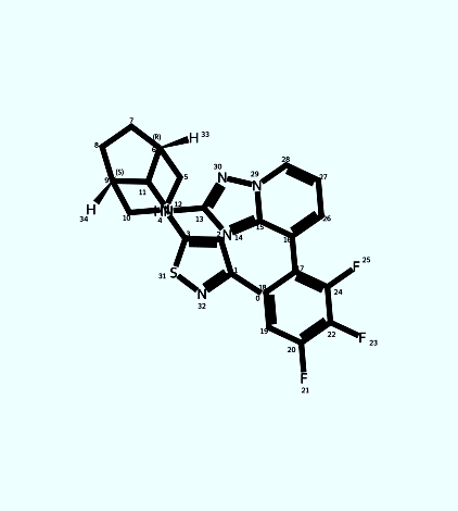 Cc1cc(N2C[C@H]3CC[C@@H](C2)C3Nc2nc3c(-c4ccc(F)c(F)c4F)cccn3n2)sn1